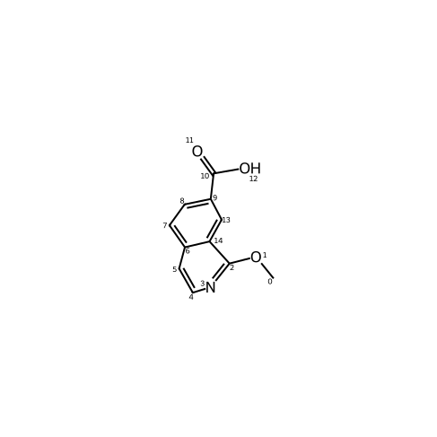 COc1nccc2ccc(C(=O)O)cc12